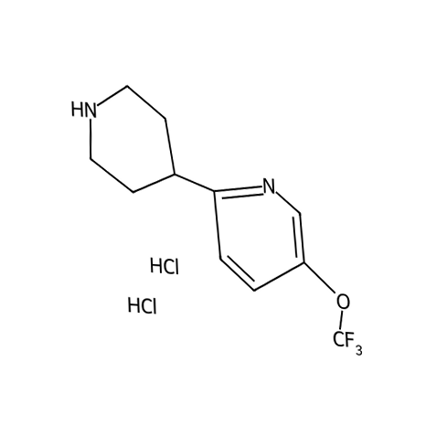 Cl.Cl.FC(F)(F)Oc1ccc(C2CCNCC2)nc1